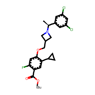 C[C@@H](c1cc(Cl)cc(Cl)c1)N1CC(COc2cc(F)c(C(=O)OC(C)(C)C)cc2C2CC2)C1